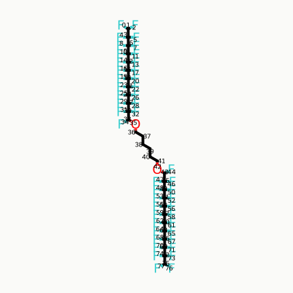 FC(F)C(F)(F)C(F)(F)C(F)(F)C(F)(F)C(F)(F)C(F)(F)C(F)(F)C(F)(F)C(F)(F)C(F)(F)C(F)OCCCCCCOC(F)C(F)(F)C(F)(F)C(F)(F)C(F)(F)C(F)(F)C(F)(F)C(F)(F)C(F)(F)C(F)(F)C(F)(F)C(F)F